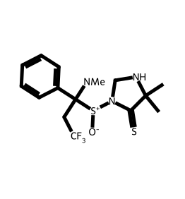 CNC(CC(F)(F)F)(c1ccccc1)[S+]([O-])N1CNC(C)(C)C1=S